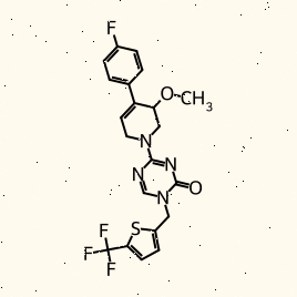 COC1CN(c2ncn(Cc3ccc(C(F)(F)F)s3)c(=O)n2)CC=C1c1ccc(F)cc1